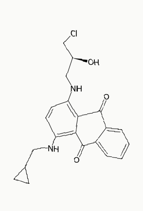 O=C1c2ccccc2C(=O)c2c(NC[C@H](O)CCl)ccc(NCC3CC3)c21